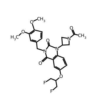 COc1ccc(Cn2c(=O)c3cc(OC(CF)CF)ccc3n(C3CN(C(C)=O)C3)c2=O)cc1OC